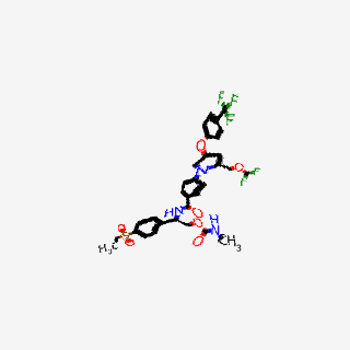 CCS(=O)(=O)c1ccc([C@H](COC(=O)NC)NC(=O)c2ccc(N3CC(Oc4ccc(C(F)(F)F)cc4)C[C@H]3COC(F)F)cc2)cc1